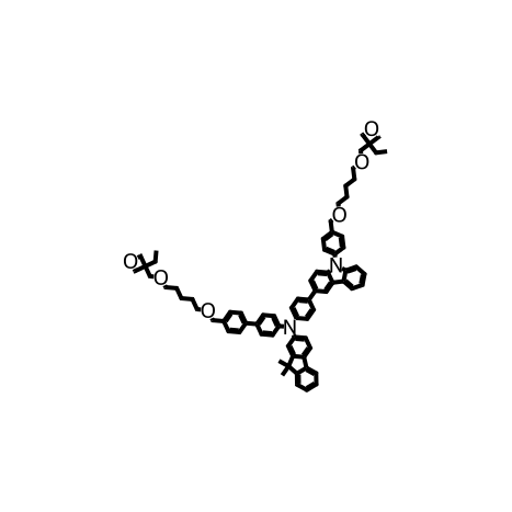 CCC1(COCCCCCOCc2ccc(-c3ccc(N(c4ccc(-c5ccc6c(c5)c5ccccc5n6-c5ccc(COCCCCCOCC6(CC)COC6)cc5)cc4)c4ccc5c(c4)C(C)(C)c4ccccc4-5)cc3)cc2)COC1